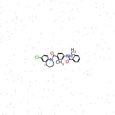 Cc1ccccc1C(=O)Nc1ccc(C(=O)N2CCC[C]c3cc(Cl)ccc32)c(C)c1